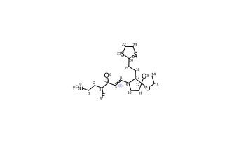 CC(C)(C)CCC(F)C(=O)/C=C/C1CCC2(OCCO2)C1CCC1SCCS1